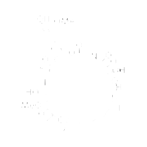 CO[C@@H]1C[C@@H](CC(C)[C@@H]2CC(=O)[C@H](C)/C=C(\C)[C@@H](O)[C@@H](OC)C(=O)[C@H](C)C[C@H](C)/C=C/C=C/C=C(/C)C(I)C[C@@H]3CC[C@@H](C)[C@@](O)(O3)C(=O)C(=O)N3CCCCC3C(=O)O2)CC[C@H]1O